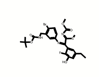 CCc1cc(O)c(F)c(C(=Nc2ccc(Br)c(CNC(=O)OC(C)(C)C)c2)C(=NC(=O)OC)SC)c1